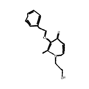 Cc1c(OCc2ccccc2)c(=O)ccn1CCO